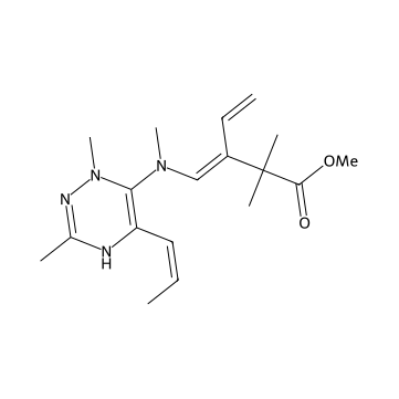 C=C/C(=C\N(C)C1=C(/C=C\C)NC(C)=NN1C)C(C)(C)C(=O)OC